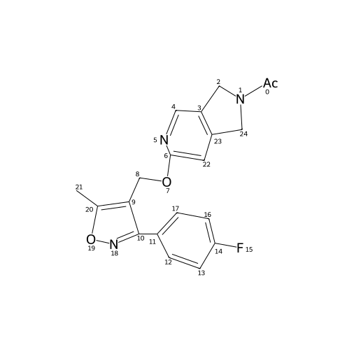 CC(=O)N1Cc2cnc(OCc3c(-c4ccc(F)cc4)noc3C)cc2C1